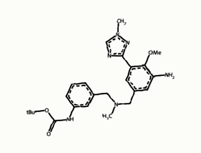 COc1c(N)cc(CN(C)Cc2cccc(NC(=O)OC(C)(C)C)c2)cc1-c1ncn(C)n1